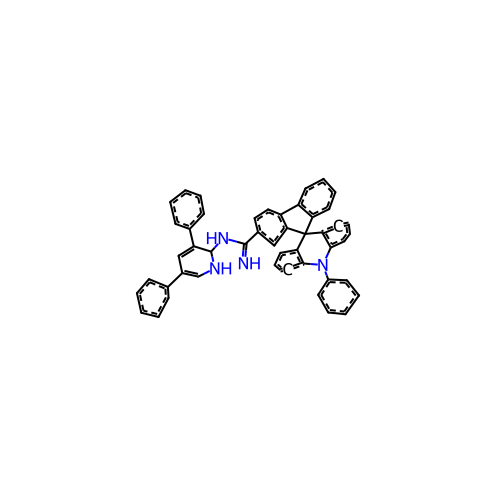 N=C(NC1NC=C(c2ccccc2)C=C1c1ccccc1)c1ccc2c(c1)C1(c3ccccc3-2)c2ccccc2N(c2ccccc2)c2ccccc21